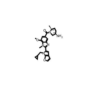 COc1cc(C(=O)N2C[C@H](N)CC[C@@H]2C)cc2nc(-c3cc4ccoc4n3CC3CC3)n(C)c12